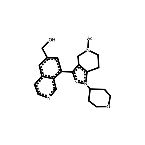 CC(=O)N1CCc2c(c(-c3cc(CO)cc4ccncc34)nn2C2CCOCC2)C1